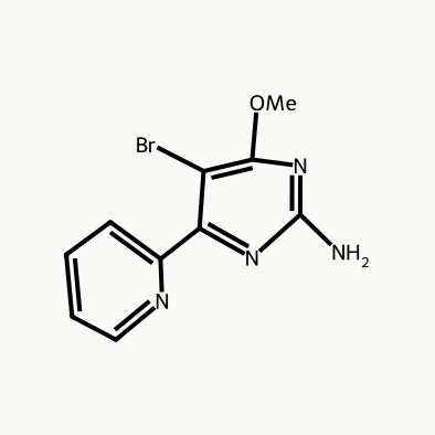 COc1nc(N)nc(-c2ccccn2)c1Br